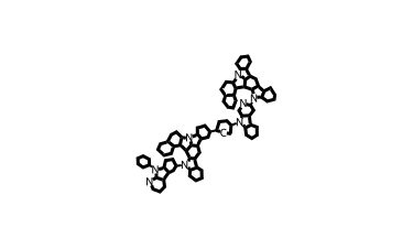 c1ccc(-n2c3ccc(-n4c5ccccc5c5cc6c7cc(-c8ccc(-n9c%10ccccc%10c%10cc(-n%11c%12ccccc%12c%12cc%13c%14ccccc%14n%14c%15ccc%16ccccc%16c%15c(c%12%11)c%13%14)ncc%109)cc8)ccc7n7c8ccc9ccccc9c8c(c54)c67)cc3c3cccnc32)cc1